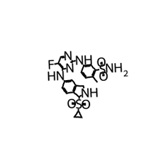 Cc1ccc(Nc2ncc(F)c(Nc3ccc4c(c3)CNC4S(=O)(=O)C3CC3)n2)cc1S(N)(=O)=O